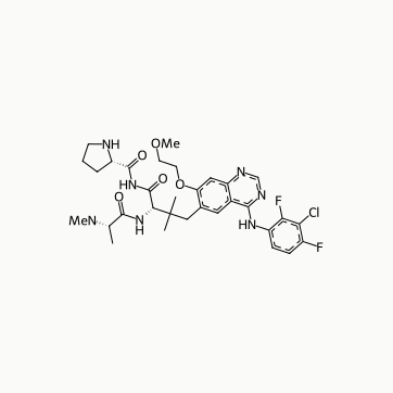 CN[C@@H](C)C(=O)N[C@H](C(=O)NC(=O)[C@@H]1CCCN1)C(C)(C)Cc1cc2c(Nc3ccc(F)c(Cl)c3F)ncnc2cc1OCCOC